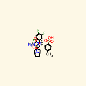 CC(=O)N(C)CC(=O)N1C2CCC1CC([C@H](N)Cc1cc(F)c(F)cc1F)C2.Cc1ccc(S(=O)(=O)O)cc1